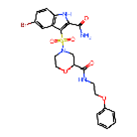 NC(=O)c1[nH]c2ccc(Br)cc2c1S(=O)(=O)N1CCOC(C(=O)NCCOc2ccccc2)C1